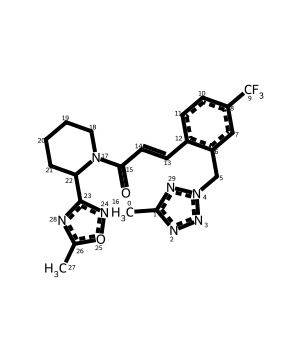 Cc1nnn(Cc2cc(C(F)(F)F)ccc2C=CC(=O)N2CCCCC2c2noc(C)n2)n1